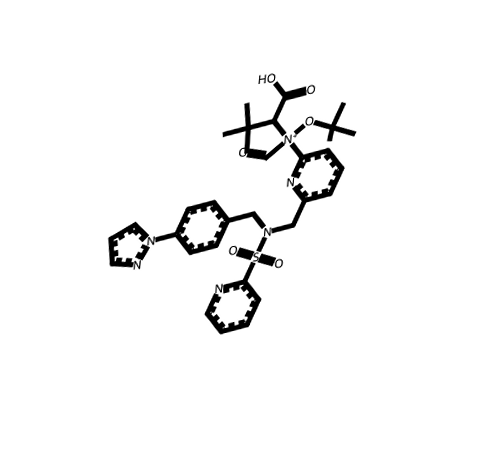 CC(C)(C)O[N+]([C]=O)(c1cccc(CN(Cc2ccc(-n3cccn3)cc2)S(=O)(=O)c2ccccn2)n1)C(C(=O)O)C(C)(C)C